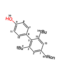 CCCCCCCCCc1cc(C(C)(C)C)c(-c2ccc(O)cc2)c(C(C)(C)C)c1